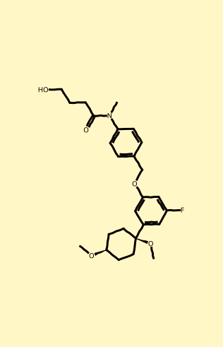 CO[C@H]1CC[C@](OC)(c2cc(F)cc(OCc3ccc(N(C)C(=O)CCCO)cc3)c2)CC1